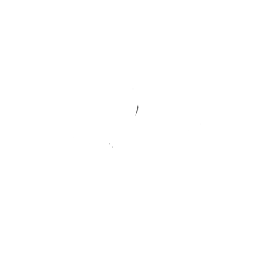 COc1cccc([C@@H]2CN(Cc3ccccc3)C[C@H]2C=O)c1